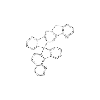 c1cnc2c(c1)Cc1cc3c(cc1-2)C1(c2ccccc2-3)c2ccccc2-c2c1ccc1cccnc21